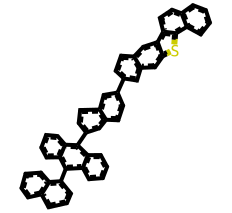 c1ccc2c(-c3c4ccccc4c(-c4ccc5cc(-c6ccc7cc8c(cc7c6)sc6c7ccccc7ccc86)ccc5c4)c4ccccc34)cccc2c1